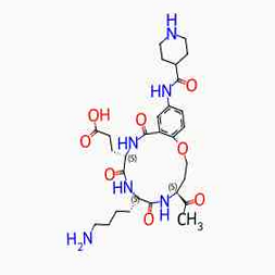 CC(=O)[C@@H]1CCOc2ccc(NC(=O)C3CCNCC3)cc2C(=O)N[C@@H](CCC(=O)O)C(=O)N[C@@H](CCCCN)C(=O)N1